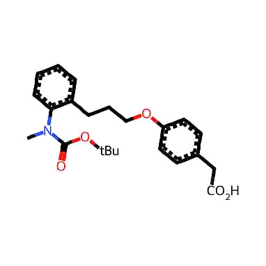 CN(C(=O)OC(C)(C)C)c1ccccc1CCCOc1ccc(CC(=O)O)cc1